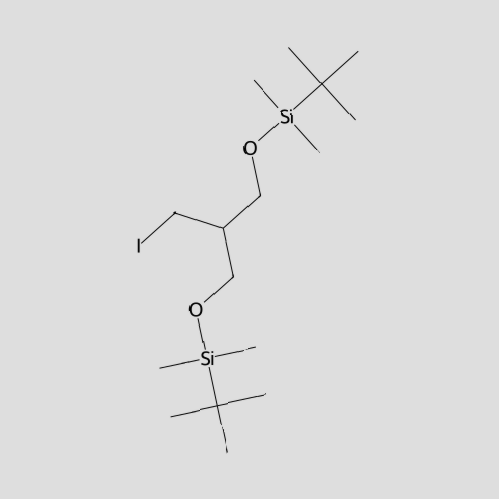 CC(C)(C)[Si](C)(C)OCC(CI)CO[Si](C)(C)C(C)(C)C